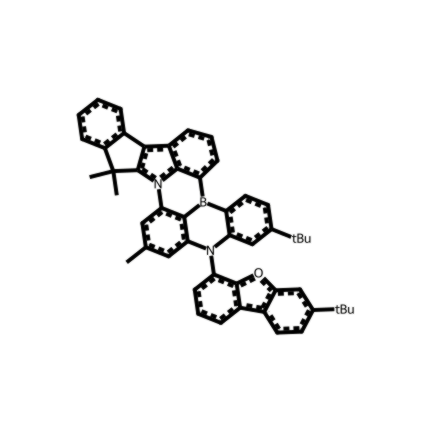 Cc1cc2c3c(c1)-n1c4c(c5cccc(c51)B3c1ccc(C(C)(C)C)cc1N2c1cccc2c1oc1cc(C(C)(C)C)ccc12)-c1ccccc1C4(C)C